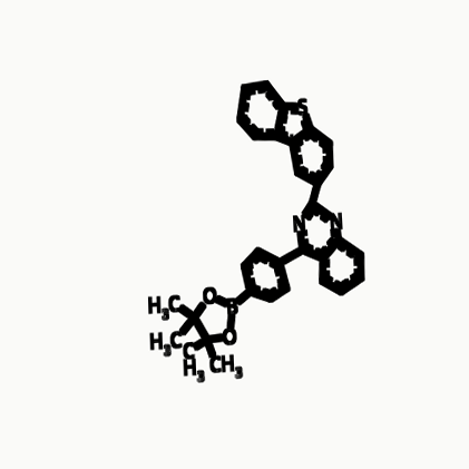 CC1(C)OB(c2ccc(-c3nc(-c4ccc5sc6ccccc6c5c4)nc4ccccc34)cc2)OC1(C)C